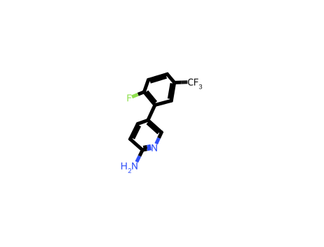 Nc1ccc(-c2cc(C(F)(F)F)ccc2F)cn1